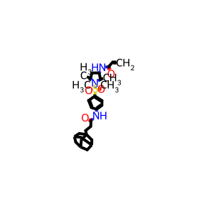 C=CC(=O)NC1CC(C)(C)N(S(=O)(=O)c2ccc(NC(=O)CCC34CC5CC(CC(C5)C3)C4)cc2)C1(C)C